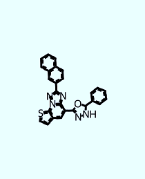 c1ccc(C2NN=C(c3cc4ccsc4n4nc(-c5ccc6ccccc6c5)nc34)O2)cc1